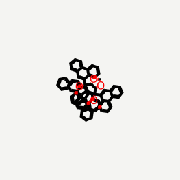 c1ccc(COC(c2cc3ccccc3c3ccccc23)(c2cc3ccccc3c3ccccc23)C2OCOC2C(OCc2ccccc2)(c2cc3ccccc3c3ccccc23)c2cc3ccccc3c3ccccc23)cc1